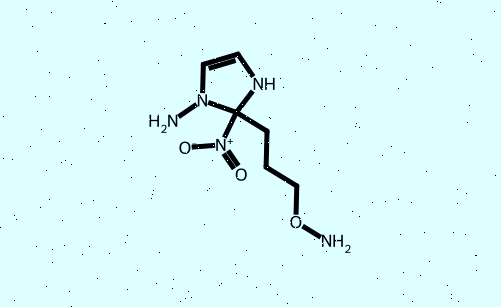 NOCCCC1([N+](=O)[O-])NC=CN1N